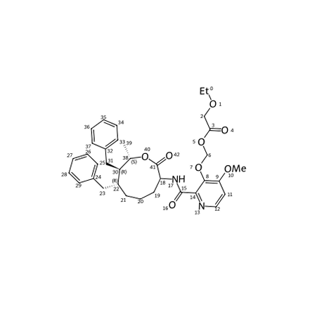 CCOCC(=O)OCOc1c(OC)ccnc1C(=O)NC1CCC[C@H](Cc2ccccc2)[C@@H](Cc2ccccc2)[C@H](C)OC1=O